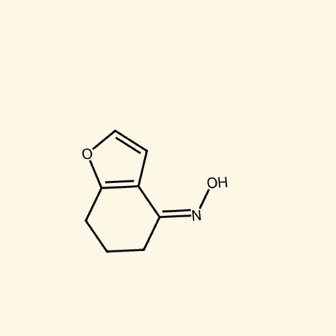 O/N=C1/CCCc2occc21